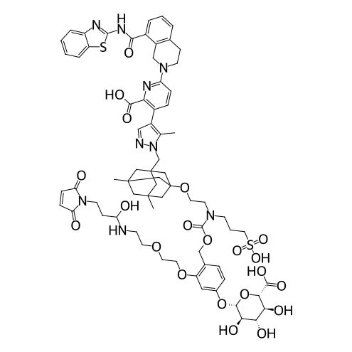 Cc1c(-c2ccc(N3CCc4cccc(C(=O)Nc5nc6ccccc6s5)c4C3)nc2C(=O)O)cnn1CC12CC3(C)CC(C)(C1)CC(OCCN(CCCS(=O)(=O)O)C(=O)OCc1ccc(O[C@@H]4O[C@H](C(=O)O)[C@@H](O)[C@H](O)[C@H]4O)cc1OCCOCCNC(O)CCN1C(=O)C=CC1=O)(C3)C2